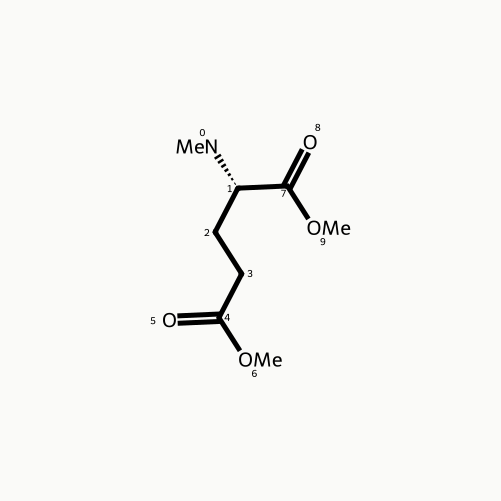 CN[C@@H](CCC(=O)OC)C(=O)OC